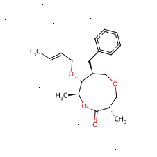 C[C@@H]1OC(=O)[C@@H](C)COC[C@H](Cc2ccccc2)[C@H]1OC/C=C/C(F)(F)F